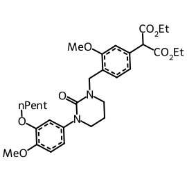 CCCCCOc1cc(N2CCCN(Cc3ccc(C(C(=O)OCC)C(=O)OCC)cc3OC)C2=O)ccc1OC